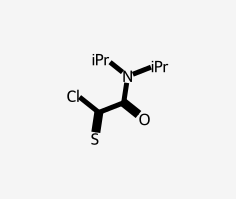 CC(C)N(C(=O)C(=S)Cl)C(C)C